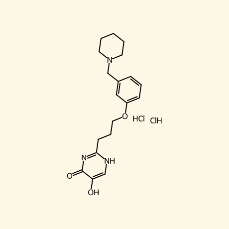 Cl.Cl.O=c1nc(CCCOc2cccc(CN3CCCCC3)c2)[nH]cc1O